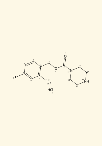 Cl.O=C(OCc1ccc(F)cc1C(F)(F)F)N1CCNCC1